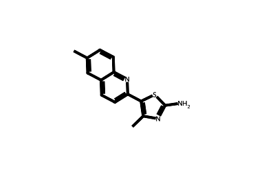 Cc1ccc2nc(-c3sc(N)nc3C)ccc2c1